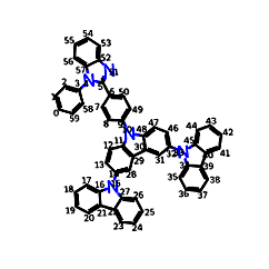 c1ccc(-n2c(-c3ccc(-n4c5ccc(-n6c7ccccc7c7ccccc76)cc5c5cc(-n6c7ccccc7c7ccccc76)ccc54)cc3)nc3ccccc32)cc1